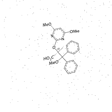 COc1cc(OC)nc(O[C@](C)(C(=O)O)C(OC)(c2ccccc2)c2ccccc2)n1